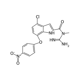 CN(C(=N)N)C(=O)c1cc2c(Cl)ccc(Oc3ccc([N+](=O)[O-])cc3)c2[nH]1